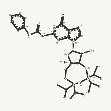 CC(C)[Si]1(C(C)C)OC[C@H]2O[C@@H](n3cnc4c(=O)[nH]c(NC(=O)Oc5ccccc5)nc43)[C@@H](O)C2O[Si](C(C)C)(C(C)C)O1